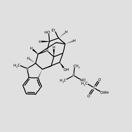 CC[C@H]1[C@@H]2C[C@H]3[C@@H]4N(C)c5ccccc5[C@]45C[C@@H](C2[C@H]5O)N3[C@@H]1O.CN(C)N=O.COS(C)(=O)=O